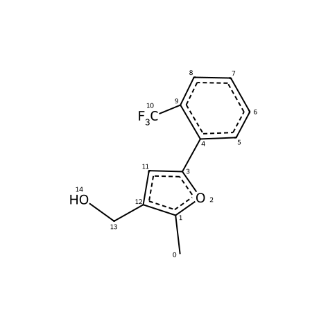 Cc1oc(-c2ccccc2C(F)(F)F)cc1CO